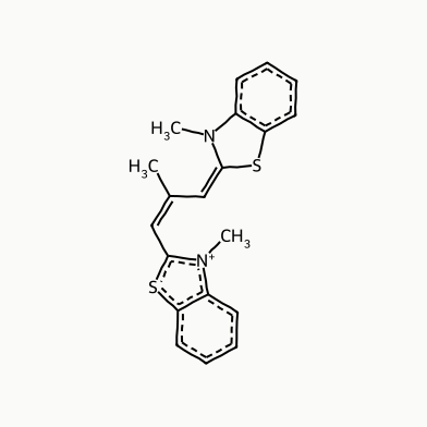 CC(=Cc1sc2ccccc2[n+]1C)C=C1Sc2ccccc2N1C